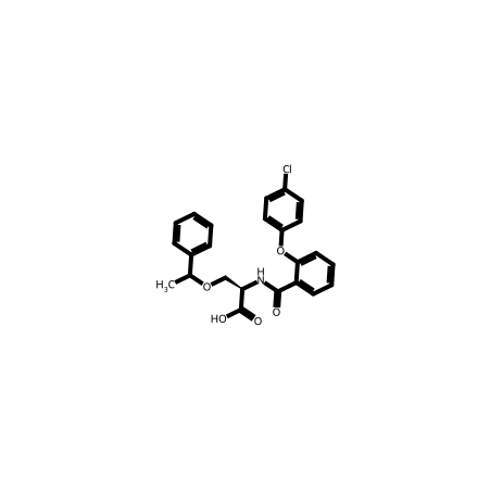 CC(OC[C@@H](NC(=O)c1ccccc1Oc1ccc(Cl)cc1)C(=O)O)c1ccccc1